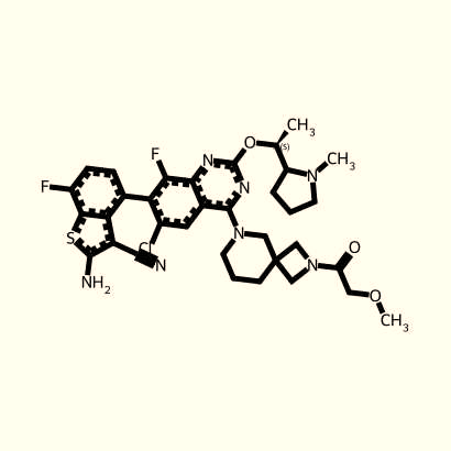 COCC(=O)N1CC2(CCCN(c3nc(O[C@@H](C)C4CCCN4C)nc4c(F)c(-c5ccc(F)c6sc(N)c(C#N)c56)c(Cl)cc34)C2)C1